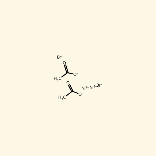 CC(=O)[O-].CC(=O)[O-].[Br-].[Br-].[Ni+2].[Ni+2]